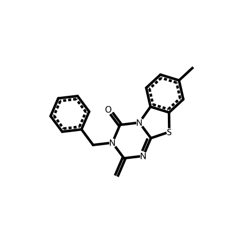 C=C1N=C2Sc3cc(C)ccc3N2C(=O)N1Cc1ccccc1